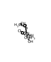 CNc1nc(OCCOc2cccc(CN(C)C)c2)n(Cc2ccc(Cl)cc2)c1C(=O)NCCO